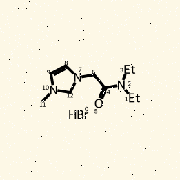 Br.CCN(CC)C(=O)CN1C=CN(C)C1